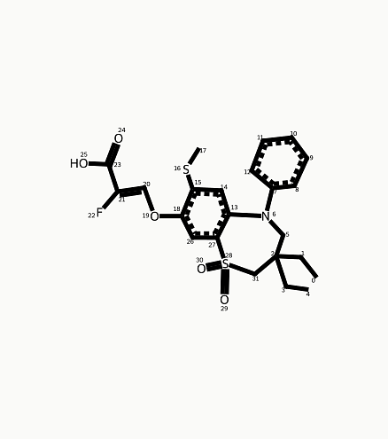 CCC1(CC)CN(c2ccccc2)c2cc(SC)c(O/C=C(\F)C(=O)O)cc2S(=O)(=O)C1